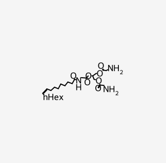 CCCCCC/C=C\CCCCCCCC(=O)NCC(=O)OC(COC(=O)CN)COC(=O)CN